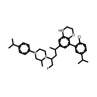 CC(C)c1ccc(N2CCN(C(CF)CC(C)c3cc4c(c(-c5cc(C(C)C)ccc5Cl)c3)OCCN4)C(C)C2)cc1